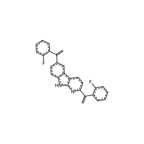 C=C(c1ccc2[nH]c3nc(C(=C)c4ccccc4F)ccc3c2c1)c1ccccc1F